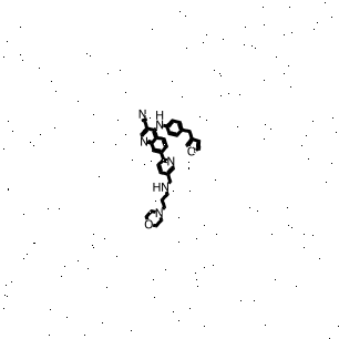 N#Cc1cnc2cc(-c3ccc(CNCCCN4CCOCC4)cn3)ccc2c1Nc1ccc(Cc2ccoc2)cc1